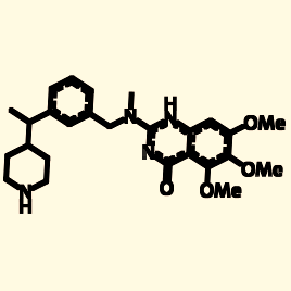 COc1cc2[nH]c(N(C)Cc3cccc(C(C)C4CCNCC4)c3)nc(=O)c2c(OC)c1OC